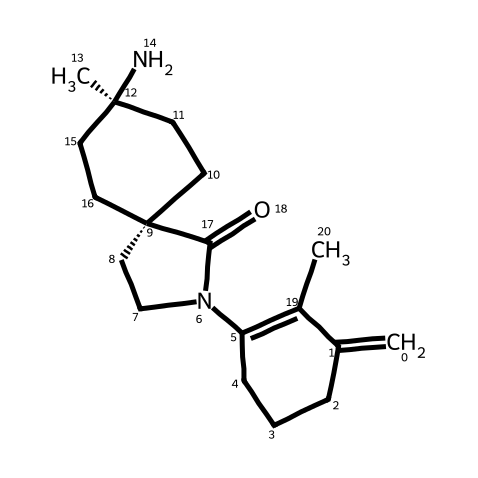 C=C1CCCC(N2CC[C@]3(CC[C@](C)(N)CC3)C2=O)=C1C